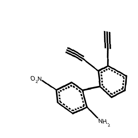 C#Cc1cccc(-c2cc([N+](=O)[O-])ccc2N)c1C#C